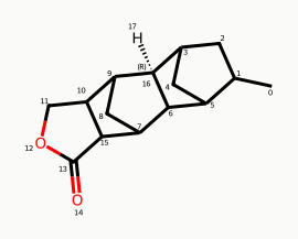 CC1CC2CC1C1C3CC(C4COC(=O)C43)[C@@H]21